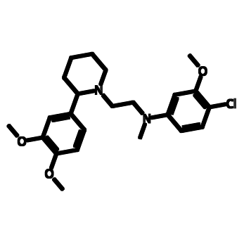 COc1cc(N(C)CCN2CCCCC2c2ccc(OC)c(OC)c2)ccc1Cl